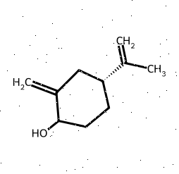 C=C1C[C@H](C(=C)C)CCC1O